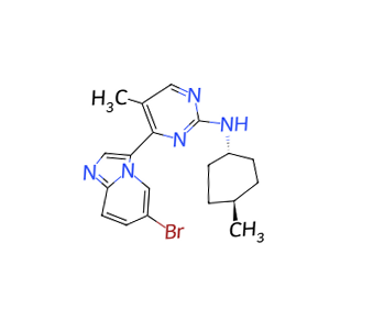 Cc1cnc(N[C@H]2CC[C@H](C)CC2)nc1-c1cnc2ccc(Br)cn12